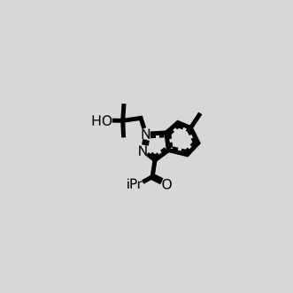 Cc1ccc2c(C(=O)C(C)C)nn(CC(C)(C)O)c2c1